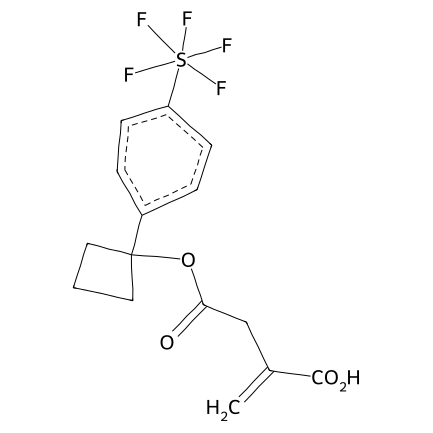 C=C(CC(=O)OC1(c2ccc(S(F)(F)(F)(F)F)cc2)CCC1)C(=O)O